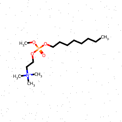 CCCCCCCCOP(=O)(OC)OCC[N+](C)(C)C